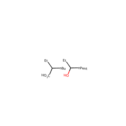 CCCCC(CC)C(=O)O.CCCCCC(O)CC